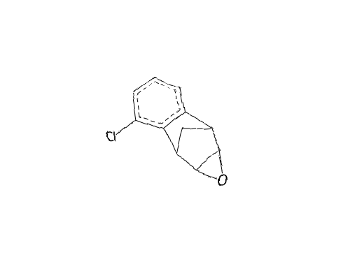 Clc1cccc2c1C1CC2C2OC12